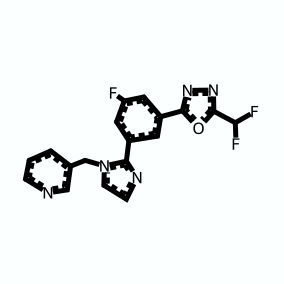 Fc1cc(-c2nnc(C(F)F)o2)cc(-c2nccn2Cc2cccnc2)c1